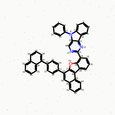 c1ccc(-n2c3ccccc3c3nc(-c4cccc5c4oc4c(-c6ccc(-c7cccc8ccccc78)cc6)cc6ccccc6c45)ncc32)cc1